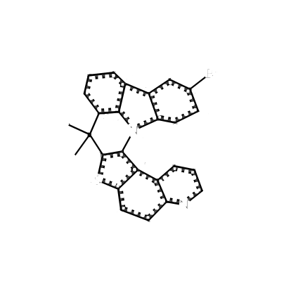 CC1(C)c2sc3ccc4ncccc4c3c2-n2c3ccc(Br)cc3c3cccc1c32